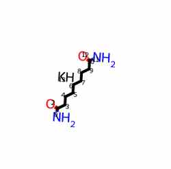 NC(=O)CCCCCCCC(N)=O.[KH]